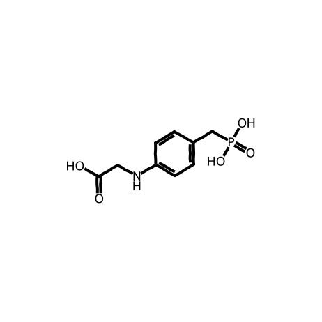 O=C(O)CNc1ccc(CP(=O)(O)O)cc1